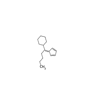 CCCCC(=C1C=CC=C1)C1CCCCC1